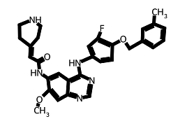 COc1cc2ncnc(Nc3ccc(OCc4cccc(C)c4)c(F)c3)c2cc1NC(=O)C=C1CCNCC1